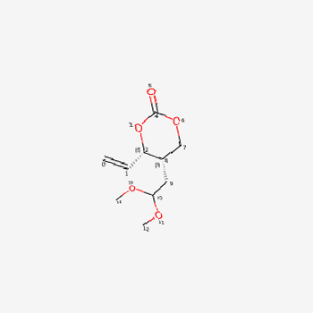 C=C[C@@H]1OC(=O)OC[C@@H]1CC(OC)OC